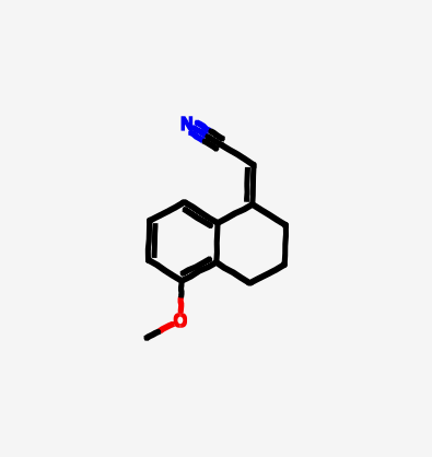 COc1cccc2c1CCC/C2=C/C#N